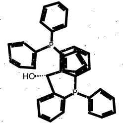 O[C@H](C1=C(P(c2ccccc2)c2ccccc2)C=CC1)c1ccccc1P(c1ccccc1)c1ccccc1